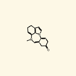 CN1C=C2CC(=O)CC=C2n2ccc3c2C1=CCC3